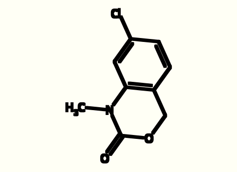 CN1C(=O)OCc2ccc(Cl)cc21